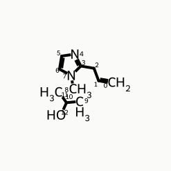 C=CCc1nccn1C.CC(C)O